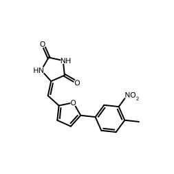 Cc1ccc(-c2ccc(C=C3NC(=O)NC3=O)o2)cc1[N+](=O)[O-]